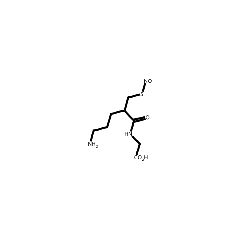 NCCCC(CSN=O)C(=O)NCC(=O)O